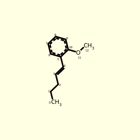 CCCC=Cc1ccccc1OC